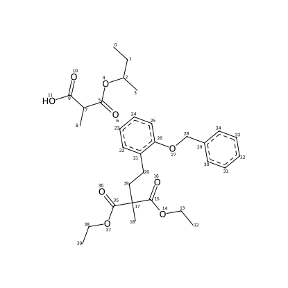 CCC(C)OC(=O)C(C)C(=O)O.CCOC(=O)C(C)(CCc1ccccc1OCc1ccccc1)C(=O)OCC